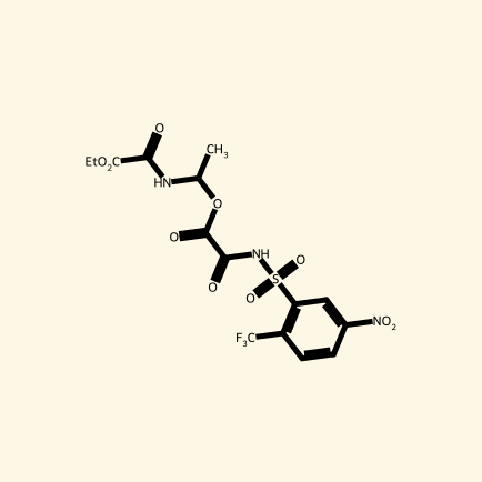 CCOC(=O)C(=O)NC(C)OC(=O)C(=O)NS(=O)(=O)c1cc([N+](=O)[O-])ccc1C(F)(F)F